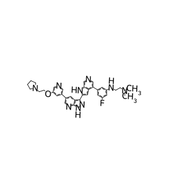 CN(C)CCNc1cc(F)cc(-c2cncc3[nH]c(-c4n[nH]c5ncc(-c6cncc(OCCN7CCCC7)c6)cc45)cc23)c1